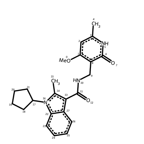 COc1cc(C)[nH]c(=O)c1CNC(=O)c1c(C)n(C2CCCC2)c2ccccc12